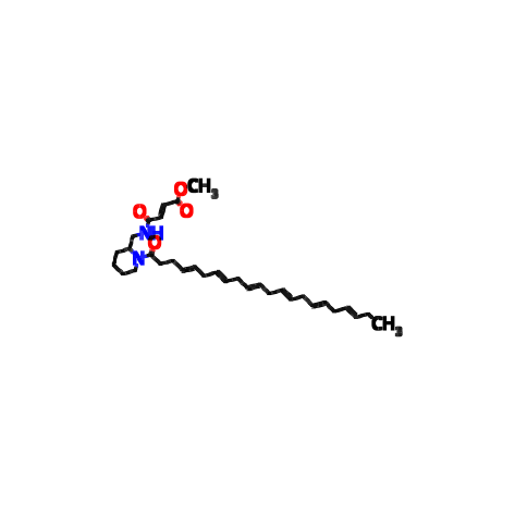 CCC=CCC=CCC=CCC=CCC=CCC=CCCC(=O)N1CCCCC1CNC(=O)C=CC(=O)OC